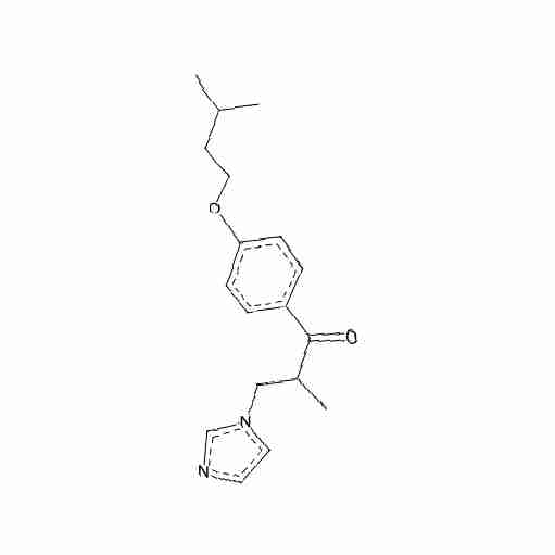 CC(C)CCOc1ccc(C(=O)C(C)Cn2ccnc2)cc1